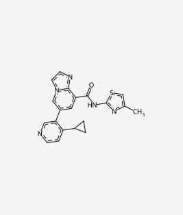 Cc1csc(NC(=O)c2cc(-c3cnccc3C3CC3)cn3ccnc23)n1